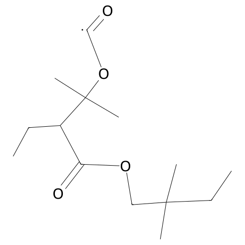 CCC(C(=O)OCC(C)(C)CC)C(C)(C)O[C]=O